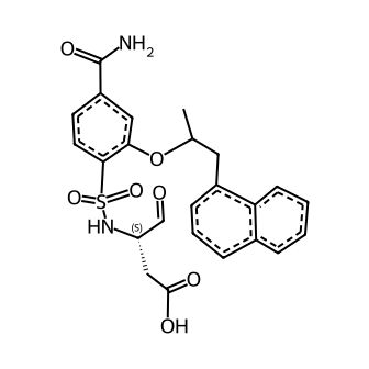 CC(Cc1cccc2ccccc12)Oc1cc(C(N)=O)ccc1S(=O)(=O)N[C@H](C=O)CC(=O)O